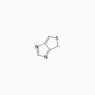 [C]1SC=C2N=CN=C12